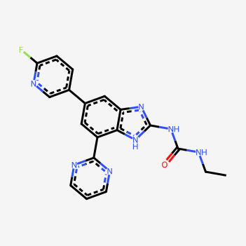 CCNC(=O)Nc1nc2cc(-c3ccc(F)nc3)cc(-c3ncccn3)c2[nH]1